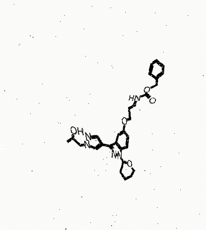 CC(O)Cn1cc(-c2nn(C3CCCCO3)c3ccc(OCCCNC(=O)OCc4ccccc4)cc23)cn1